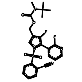 CN(C(=O)OCc1cn(S(=O)(=O)c2ccccc2C#N)c(-c2cccnc2F)c1F)C(C)(C)C